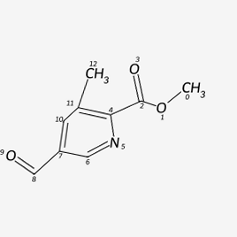 COC(=O)c1ncc(C=O)cc1C